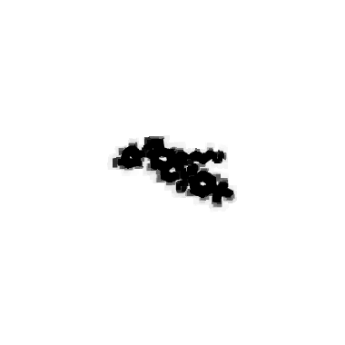 COCCCOC[C@]12Cc3cnn(-c4ccc(F)cc4)c3C=C1CCN(S(=O)(=O)c1ccc(C(C)(C)C)cc1)C2